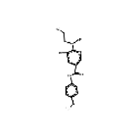 CCCN(CCO)c1ncc(C(=O)Nc2ccc(OC(F)(F)F)cc2)cc1Br